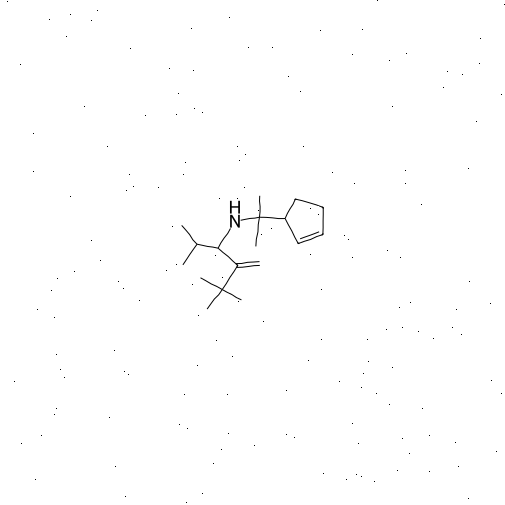 C=C(C(NC(C)(C)C1C=CCC1)C(C)C)C(C)(C)C